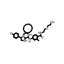 Cc1cc(NC2NC3(CCCCCCCCC3)CN3C(c4ccc(F)cc4)CNC23)ccc1C(=O)NCCOCCO